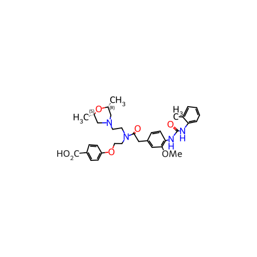 COc1cc(CC(=O)N(CCOc2ccc(C(=O)O)cc2)CCN2C[C@@H](C)O[C@@H](C)C2)ccc1NC(=O)Nc1ccccc1C